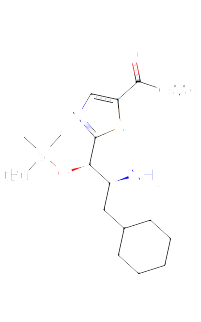 COC(=O)c1cnc([C@H](O[Si](C)(C)C(C)(C)C)[C@@H](N)CC2CCCCC2)s1